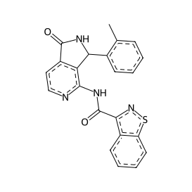 Cc1ccccc1C1NC(=O)c2ccnc(NC(=O)c3nsc4ccccc34)c21